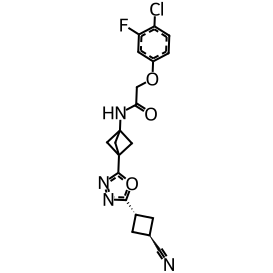 N#C[C@H]1C[C@H](c2nnc(C34CC(NC(=O)COc5ccc(Cl)c(F)c5)(C3)C4)o2)C1